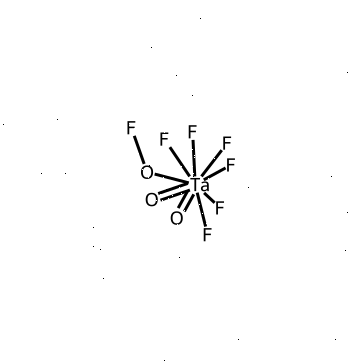 [O]=[Ta](=[O])([F])([F])([F])([F])([F])([F])[O]F